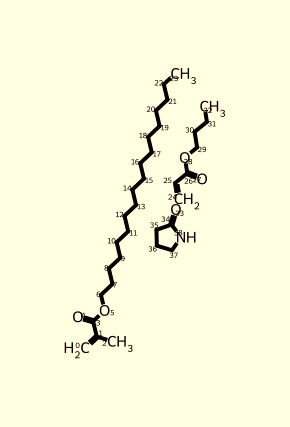 C=C(C)C(=O)OCCCCCCCCCCCCCCCCCC.C=CC(=O)OCCCC.O=C1CCCN1